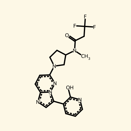 CN(C(=O)CC(F)(F)F)C1CCN(c2ccc3ncc(-c4cccnc4O)n3n2)C1